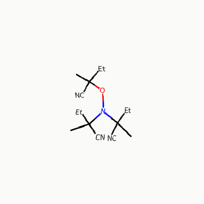 CCC(C)(C#N)ON(C(C)(C#N)CC)C(C)(C#N)CC